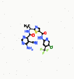 CC(NC(=O)c1ncnc(N)c1C#N)c1ncc(C(=O)Nc2cc(C(F)(F)F)c(Cl)cn2)s1